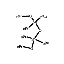 CCC[CH2][Sn]([CH2]CC)([O]CCC)[O][Sn]([CH2]CC)([CH2]CCC)[O]CCC